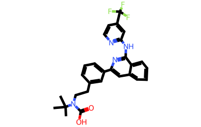 CC(C)(C)N(CCc1cccc(-c2cc3ccccc3c(Nc3cc(C(F)(F)F)ccn3)n2)c1)C(=O)O